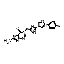 Cc1ccc([C@H]2C[C@H](c3noc(Cn4cnc5nc(N)sc5c4=O)n3)CO2)cc1